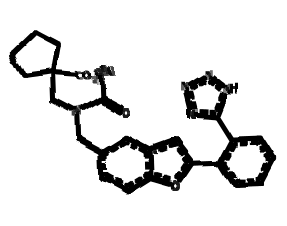 CCCCC(=O)N(Cc1ccc2oc(-c3ccccc3-c3nnn[nH]3)cc2c1)CC1(C(=O)O)CCCC1